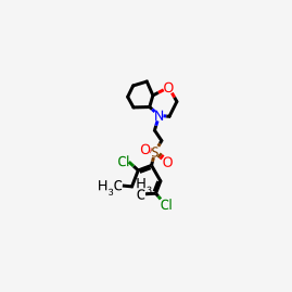 CC/C(Cl)=C(\C=C(/C)Cl)S(=O)(=O)CCN1CCOC2CCCCC21